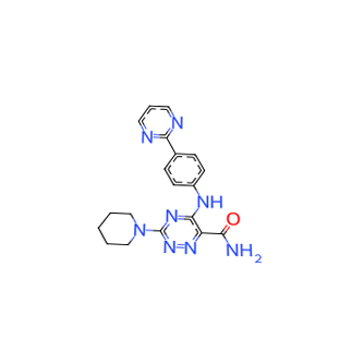 NC(=O)c1nnc(N2CCCCC2)nc1Nc1ccc(-c2ncccn2)cc1